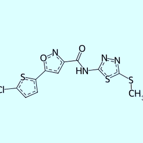 CSc1nnc(NC(=O)c2cc(-c3ccc(Cl)s3)on2)s1